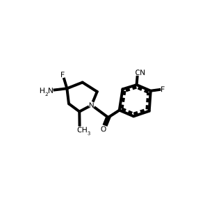 CC1CC(N)(F)CCN1C(=O)c1ccc(F)c(C#N)c1